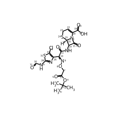 CC(C)(C)OC(=O)CON=C(C(=O)NC1C(=O)N2C(C(=O)O)=CCS[C@@H]12)c1nc(NC=O)sc1Cl